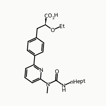 CCCCCCCNC(=O)N(C)c1cccc(-c2ccc(C[C@H](OCC)C(=O)O)cc2)n1